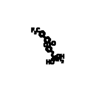 NC(CO)(CO)CCc1ccc2oc3cc(-c4ccc(C(F)(F)F)cc4)ccc3c(=O)c2c1